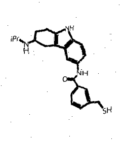 CC(C)NC1CCc2[nH]c3ccc(NC(=O)c4cccc(CS)c4)cc3c2C1